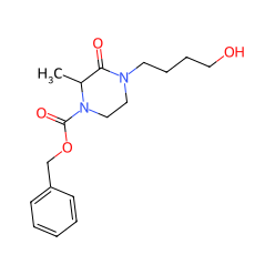 CC1C(=O)N(CCCCO)CCN1C(=O)OCc1ccccc1